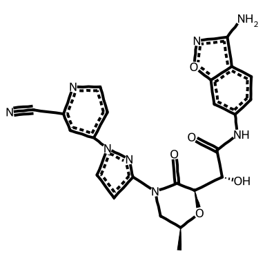 C[C@H]1CN(c2ccn(-c3ccnc(C#N)c3)n2)C(=O)[C@@H]([C@@H](O)C(=O)Nc2ccc3c(N)noc3c2)O1